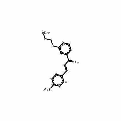 CCCCCCCCCCCCOc1cccc(C(=O)/C=C/c2ccc(SC)cc2)c1